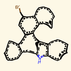 Brc1cc2c3ccccc3c3[nH]c4ccccc4c3c2c2ccccc12